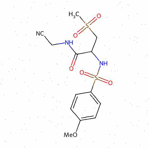 COc1ccc(S(=O)(=O)NC(CS(C)(=O)=O)C(=O)NCC#N)cc1